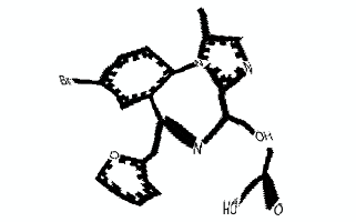 CC(=O)O.Cc1cnc2n1-c1ccc(Br)cc1C(c1ccco1)=NC2O